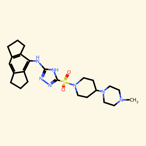 CN1CCN(C2CCN(S(=O)(=O)c3nnc(Nc4c5c(cc6c4CCC6)CCC5)[nH]3)CC2)CC1